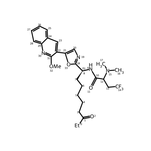 CCC(=O)CCCCC[C@H](NC(=O)C(CC(F)(F)F)N(C)C)c1ncc(-c2cc3ccccc3nc2OC)o1